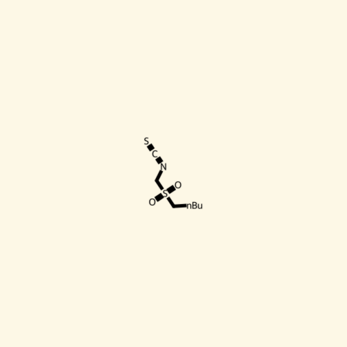 CCCCCS(=O)(=O)CN=C=S